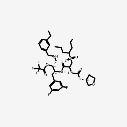 CCCC(CCC)S(=O)(=O)CC(NC(=O)O[C@@H]1CCOC1)C(=O)N[C@@H](Cc1cc(F)cc(F)c1)[C@@H](CNCc1cccc(CC)c1)OC(=O)C(F)(F)F